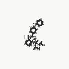 CC(C)NC(C)(NC(C)C)Oc1ccccc1NC(=O)c1ccc(Oc2ccccc2)cc1